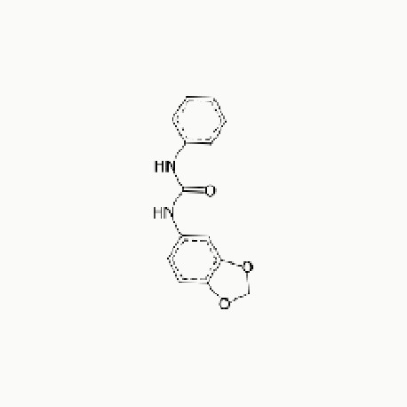 O=C(Nc1ccccc1)Nc1ccc2c(c1)OCO2